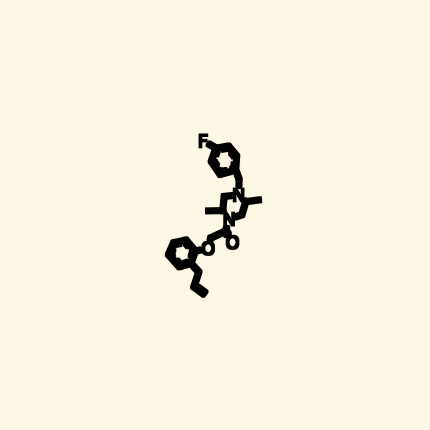 C=CCc1ccccc1OCC(=O)N1CC(C)N(Cc2ccc(F)cc2)CC1C